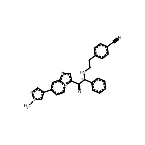 Cn1cc(-c2ccn3c(C(=O)[C@@H](NCCc4ccc(C#N)cc4)c4ccccc4)cnc3c2)cn1